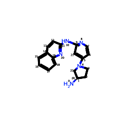 N[C@@H]1CCN(c2ccnc(Nc3ccc4ccccc4n3)c2)C1